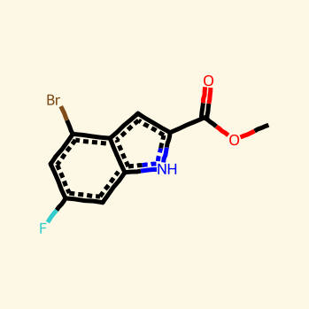 COC(=O)c1cc2c(Br)cc(F)cc2[nH]1